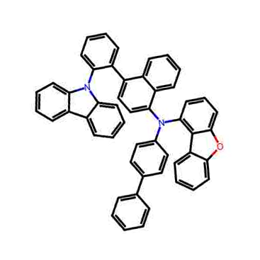 c1ccc(-c2ccc(N(c3ccc(-c4ccccc4-n4c5ccccc5c5ccccc54)c4ccccc34)c3cccc4oc5ccccc5c34)cc2)cc1